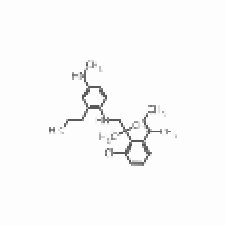 CCCc1cc(NC)ccc1NCC(C)(C)c1c(Cl)cccc1C(C)CC